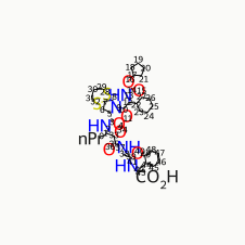 CCCC(NC(=O)[C@@H]1CC2(CN1C(=O)[C@@H](NC(=O)OC1CCCC1)C1CCCCC1)SCCCS2)C(=O)C(=O)NCC(=O)NC(C(=O)O)c1ccccc1